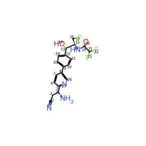 N#CCC(N)c1ccc(-c2ccc([C@H](O)[C@@H](CF)NC(=O)C(F)F)cc2)cn1